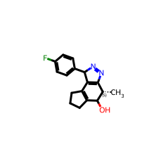 C[C@H]1C2=C(C3=C(CCC3)C1O)C(c1ccc(F)cc1)N=N2